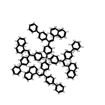 C(=C(c1ccc(-c2ccccc2)cc1)c1cc[c]([Sn]([c]2ccc(C(=Cc3cccc4ccccc34)c3ccc(-c4ccccc4)cc3)cc2)([c]2ccc(C(=Cc3cccc4ccccc34)c3ccc(-c4ccccc4)cc3)cc2)[c]2ccc(C(=Cc3cccc4ccccc34)c3ccc(-c4ccccc4)cc3)cc2)cc1)c1cccc2ccccc12